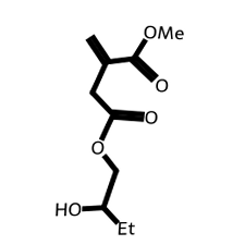 C=C(CC(=O)OCC(O)CC)C(=O)OC